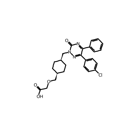 O=C(O)COC[C@H]1CC[C@@H](Cn2nc(-c3ccc(Cl)cc3)c(-c3ccccc3)nc2=O)CC1